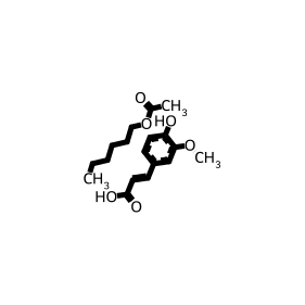 CCCCCCOC(C)=O.COc1cc(C=CC(=O)O)ccc1O